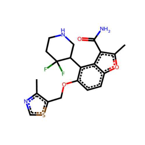 Cc1ncsc1COc1ccc2oc(C)c(C(N)=O)c2c1C1CNCCC1(F)F